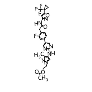 CC(=O)OCCn1cc(Nc2ncc(-c3ccc(CC(=O)Nc4cc(C5(C(F)(F)F)CC5)on4)c(F)c3)cn2)c(C)n1